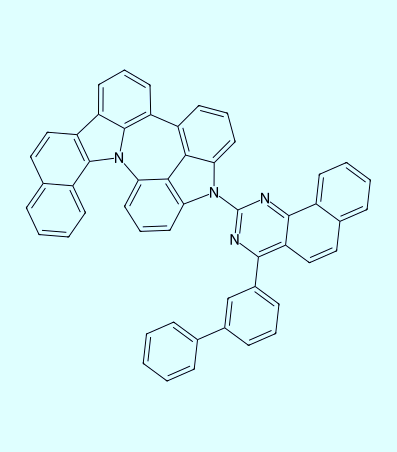 c1ccc(-c2cccc(-c3nc(-n4c5cccc6c7cccc8c9ccc%10ccccc%10c9n(c9cccc4c9c65)c78)nc4c3ccc3ccccc34)c2)cc1